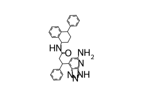 Nc1cc(C(CC(=O)NC2CCC(c3ccccc3)c3ccccc32)c2ccccc2)c2nn[nH]c2n1